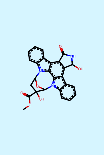 COC(=O)C1(O)CC2OC1n1c3ccccc3c3c4c(c5c6ccccc6n2c5c31)C(=O)NC4O